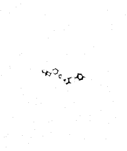 C[C@@H](Nc1nc(N2CC([C@H]3CCCN(C4CC(C)(C(=O)O)C4)C3)C2)ncc1F)c1ccc(Cl)cc1Cl